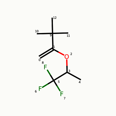 C=C(OC(C)C(F)(F)F)C(C)(C)C